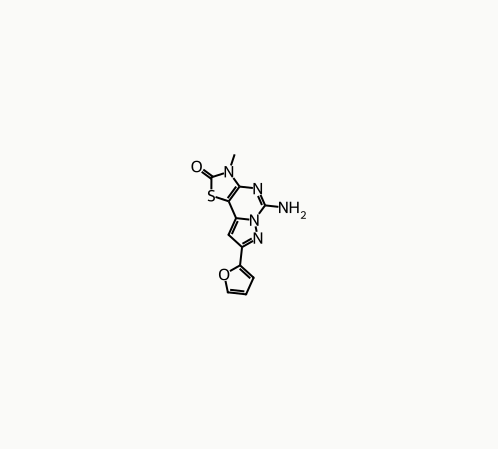 Cn1c(=O)sc2c1nc(N)n1nc(-c3ccco3)cc21